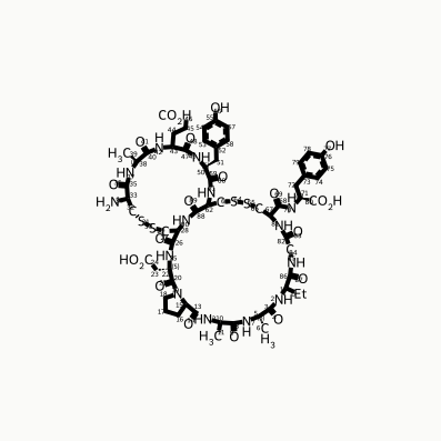 CCC1NC(=O)[C@H](C)NC(=O)C(C)NC(=O)C2CCCN2C(=O)[C@H](CC(=O)O)NC(=O)C2CSSCC(N)C(=O)N[C@@H](C)C(=O)NC(CCC(=O)O)C(=O)N[C@@H](Cc3ccc(O)cc3)C(=O)NC(CSSCC(C(=O)N[C@@H](Cc3ccc(O)cc3)C(=O)O)NC(=O)CNC1=O)C(=O)N2